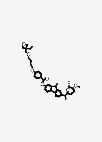 CCC1(COCCCCOc2ccc(C(=O)Oc3ccc4c(c3)C(C)c3cc(C(C)c5ccc(OC)c(F)c5)ccc3-4)cc2)COC1